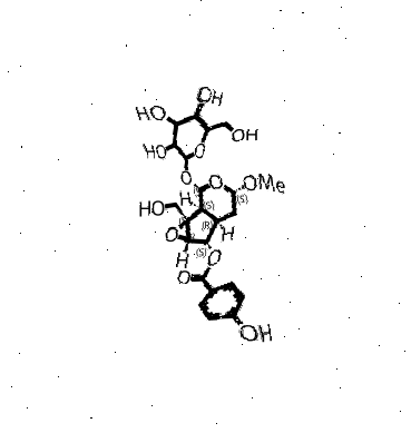 CO[C@@H]1C[C@H]2[C@H](OC(=O)c3ccc(O)cc3)[C@@H]3O[C@]3(CO)[C@H]2[C@H](OC2OC(CO)C(O)C(O)C2O)O1